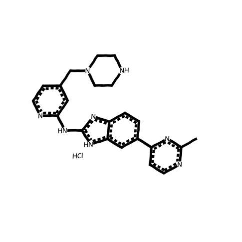 Cc1nccc(-c2ccc3nc(Nc4cc(CN5CCNCC5)ccn4)[nH]c3c2)n1.Cl